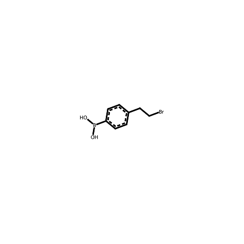 OB(O)c1ccc(CCBr)cc1